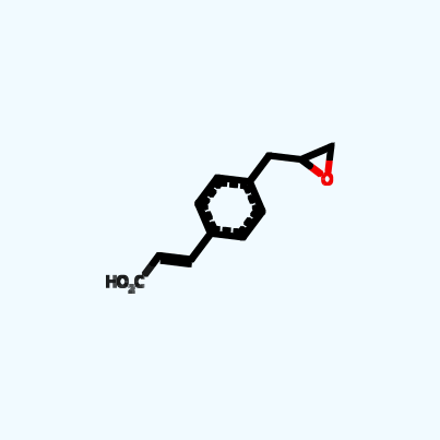 O=C(O)C=Cc1ccc(CC2CO2)cc1